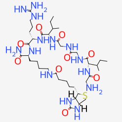 CCC(C)[C@H](NC(=O)CN)C(=O)NCC(=O)NCC(=O)N[C@H](C(=O)N[C@@H](CCCNC(=N)N)C(=O)N[C@@H](CCCCNC(=O)CCCC[C@@H]1SC[C@@H]2NC(=O)N[C@@H]21)C(N)=O)C(C)CC